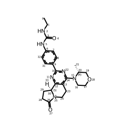 CCNC(=O)Nc1ccc(-c2nc3c(c(N4CCOC[C@H]4C)n2)CCN2C(=O)CC[C@@H]32)cc1